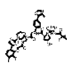 Cc1ncsc1-c1ccc([C@H](CC(=O)NCNC(=O)COc2c(-c3csc(N4CCOCC4)n3)ccc(F)c2F)NC(=O)[C@@H]2C[C@@H](O)CN2C(=O)[C@@H](NC(=O)C2(F)CC2)C(C)(C)C)cc1